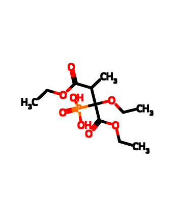 CCOC(=O)C(C)C(OCC)(C(=O)OCC)P(=O)(O)O